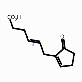 O=C(O)CC/C=C/CC1=CCCC1=O